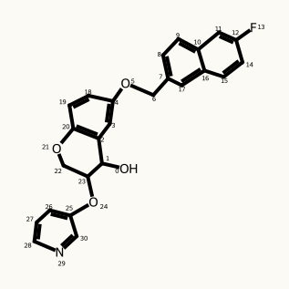 OC1c2cc(OCc3ccc4cc(F)ccc4c3)ccc2OCC1Oc1cccnc1